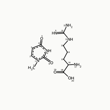 Cn1ccc(=O)[nH]c1=O.N=C(N)NCCCC(N)C(=O)O